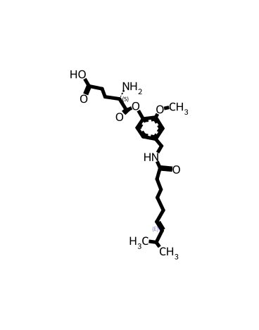 COc1cc(CNC(=O)CCCC/C=C/C(C)C)ccc1OC(=O)[C@@H](N)CCC(=O)O